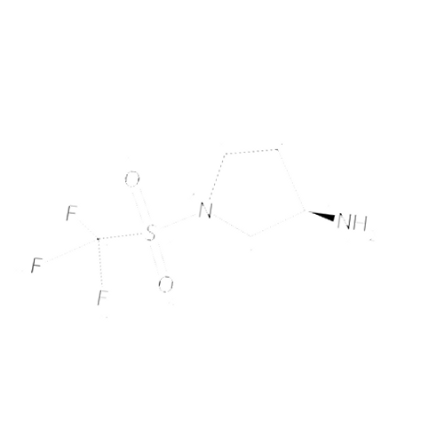 N[C@@H]1CCN(S(=O)(=O)C(F)(F)F)C1